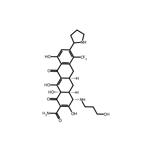 NC(=O)C1=C(O)[C@@H](NCCCO)[C@@H]2C[C@@H]3Cc4c(c(O)cc(C5CCCN5)c4C(F)(F)F)C(=O)C3=C(O)[C@]2(O)C1=O